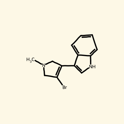 CN1CC(Br)=C(c2c[nH]c3ccccc23)C1